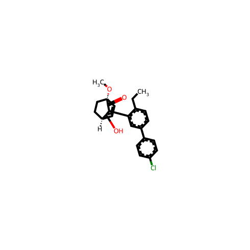 CCc1ccc(-c2ccc(Cl)cc2)cc1C1=C(O)[C@H]2C=C[C@](OC)(CC2)C1=O